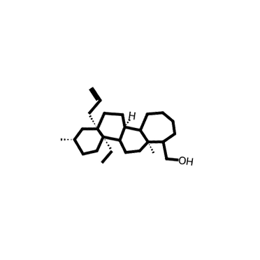 C=CC[C@]12CC[C@H]3C4CCCCC(CO)[C@@]4(C)CCC3[C@@]1(CC)CC[C@H](C)C2